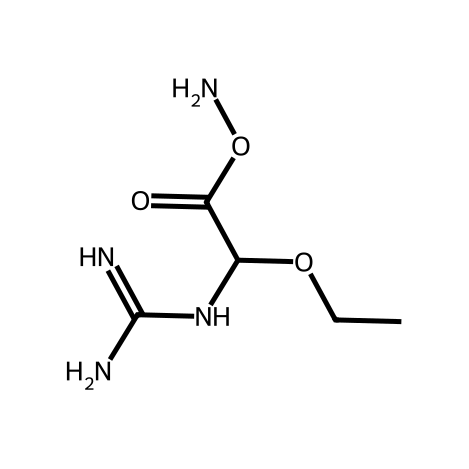 CCOC(NC(=N)N)C(=O)ON